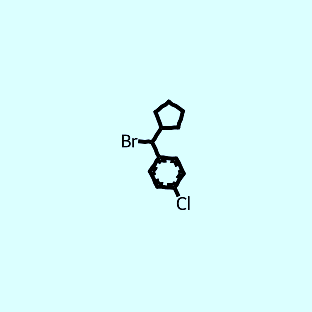 Clc1ccc(C(Br)C2CCCC2)cc1